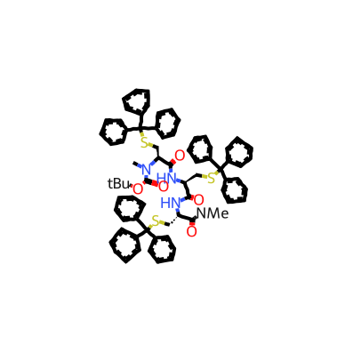 CNC(=O)[C@H](CSC(c1ccccc1)(c1ccccc1)c1ccccc1)NC(=O)[C@H](CSC(c1ccccc1)(c1ccccc1)c1ccccc1)NC(=O)[C@H](CSC(c1ccccc1)(c1ccccc1)c1ccccc1)N(C)C(=O)OC(C)(C)C